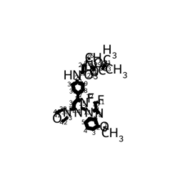 COc1cccc2c1nc(C(F)F)n2-c1nc(-c2ccc(NC(=O)CN(C)C(=O)OC(C)(C)C)cc2)cc(N2CCOCC2)n1